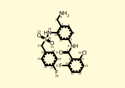 NCc1ccc(NC(=O)c2c(F)cccc2Cl)cc1NS(=O)(=O)Cc1ccc(F)cc1